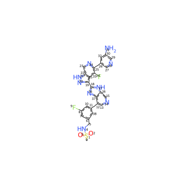 CS(=O)(=O)NCc1cc(F)cc(-c2cncc3[nH]c(-c4n[nH]c5cnc(-c6cncc(N)c6)c(F)c45)nc23)c1